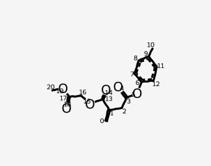 C=C(CC(=O)Oc1ccc(C)cc1)C(=O)OCC(=O)OC